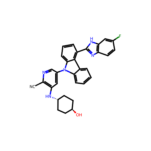 N#Cc1ncc(-n2c3ccccc3c3c(-c4nc5ccc(F)cc5[nH]4)cccc32)cc1N[C@H]1CC[C@H](O)CC1